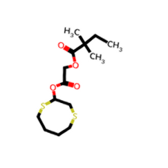 CCC(C)(C)C(=O)OCC(=O)OC1CSCCCCS1